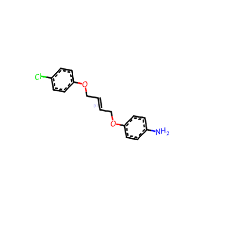 Nc1ccc(OC/C=C/COc2ccc(Cl)cc2)cc1